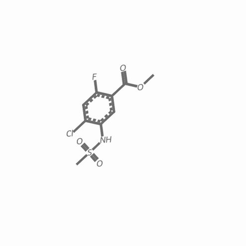 COC(=O)c1cc(NS(C)(=O)=O)c(Cl)cc1F